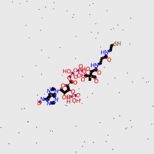 CC(C=O)(C(=O)OP(=O)(O)OP(=O)(O)OC(=O)[C@H]1O[C@@H](n2cnc3c(N=O)ncnc32)[C@H](O)[C@@H]1OP(=O)(O)O)[C@@H](O)C(=O)NCCC(=O)NCCS